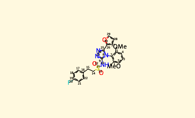 COc1cccc(OC)c1-n1c(NS(=O)(=O)CCc2ccc(F)cc2)nnc1-c1ccco1